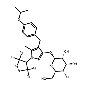 [2H]C([2H])([2H])C(n1nc(O[C@@H]2O[C@H](CO)[C@@H](O)[C@H](O)[C@H]2O)c(Cc2ccc(OC(C)C)cc2)c1C)C([2H])([2H])[2H]